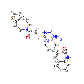 C=C(/C=C(\N=C/N)N1CCC(c2cc3ccccc3[nH]c2=O)CC1)C(=O)N1CCc2ccsc2CC1